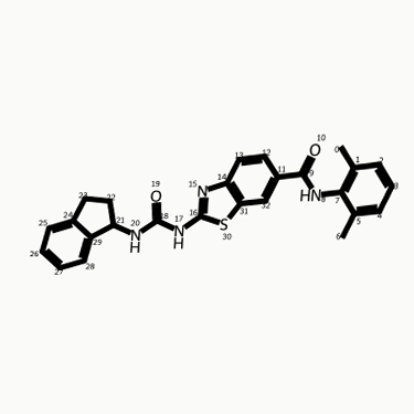 Cc1cccc(C)c1NC(=O)c1ccc2nc(NC(=O)NC3CCc4ccccc43)sc2c1